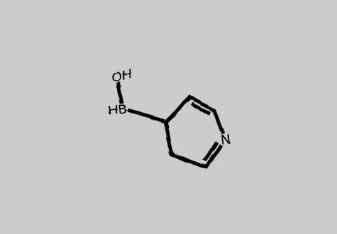 OBC1C=CN=CC1